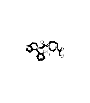 Cc1ccccc1C1c2ccsc2CCN1CC(=O)N1CCCN(C(=O)CCl)CC1